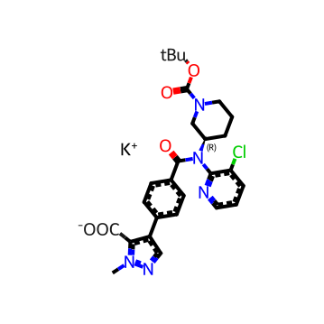 Cn1ncc(-c2ccc(C(=O)N(c3ncccc3Cl)[C@@H]3CCCN(C(=O)OC(C)(C)C)C3)cc2)c1C(=O)[O-].[K+]